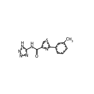 Cc1cccc(-c2nc(C(=O)Nc3nnn[nH]3)cs2)c1